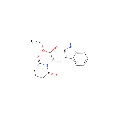 CCOC(=O)[C@H](Cc1c[nH]c2ccccc12)N1C(=O)CCCC1=O